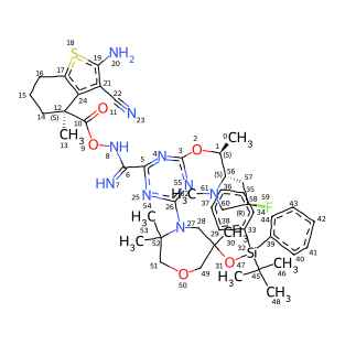 C[C@H](Oc1nc(C(=N)NOC(=O)[C@@]2(C)CCCc3sc(N)c(C#N)c32)nc(N2CC(C)(O[Si](c3ccccc3)(c3ccccc3)C(C)(C)C)COCC2(C)C)n1)[C@@H]1C[C@@H](F)CN1C